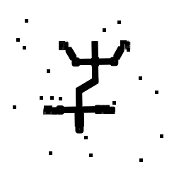 CCO[Si](C)(CCP(=O)(OC)OC)OCC